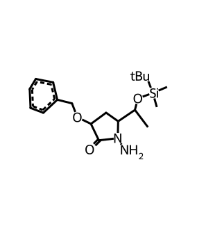 CC(O[Si](C)(C)C(C)(C)C)C1CC(OCc2ccccc2)C(=O)N1N